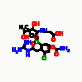 CC(C)(CO)[C@@H](O)C(=O)NCCC(=O)O.N=C(N)NC(=O)Cc1c(Cl)cccc1Cl.NC(=O)O